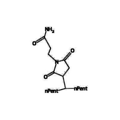 CCCCCC(CCCCC)C1CC(=O)N(CCC(N)=O)C1=O